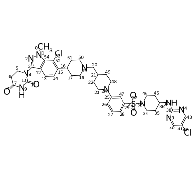 Cn1nc(N2CCC(=O)NC2=O)c2ccc(C3CCN(CC4CCN(c5cccc(S(=O)(=O)N6CCC(Nc7ncc(Cl)cn7)CC6)c5)CC4)CC3)c(Cl)c21